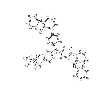 O=S(=O)(Oc1ccc(N(c2ccc(-c3cccc4c3oc3ccccc34)cc2)c2ccc(-c3cccc4c3sc3ccccc34)cc2)cc1)C(F)(F)F